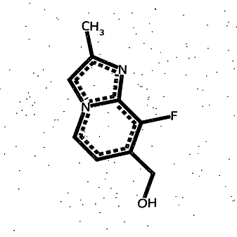 Cc1cn2ccc(CO)c(F)c2n1